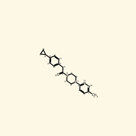 Cc1ccc(N2CCN(C(=O)Cc3ccc(C4CC4)cc3)CC2)nn1